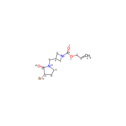 C=CCOC(=O)N1CC(CN2CCC(Br)C2=O)C1